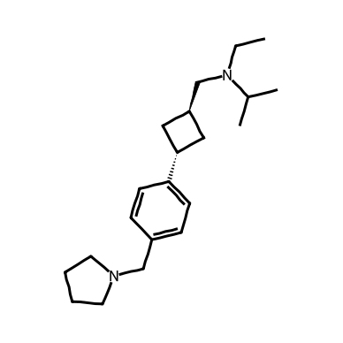 CCN(C[C@H]1C[C@H](c2ccc(CN3CCCC3)cc2)C1)C(C)C